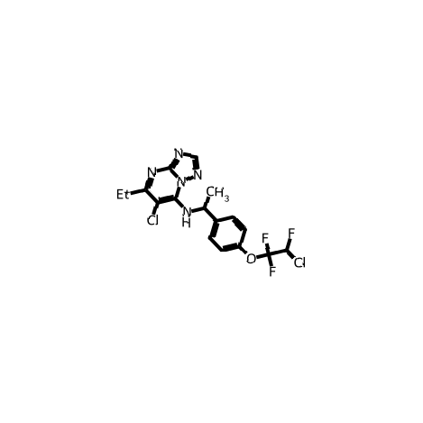 CCc1nc2ncnn2c(NC(C)c2ccc(OC(F)(F)C(F)Cl)cc2)c1Cl